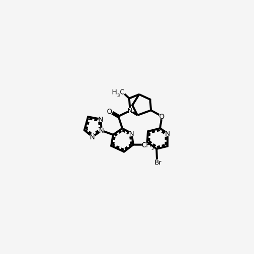 Cc1ccc(-n2nccn2)c(C(=O)N2C(C)C3CC(Oc4ccc(Br)cn4)C2C3)n1